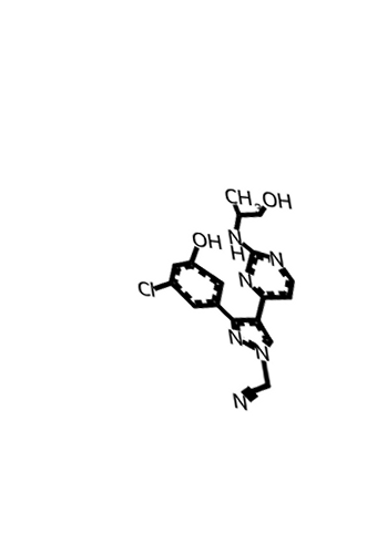 CC(CO)Nc1nccc(-c2cn(CC#N)nc2-c2cc(O)cc(Cl)c2)n1